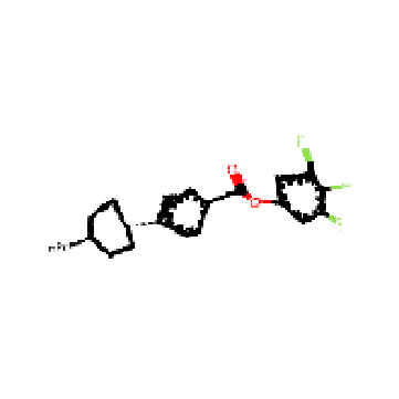 CCC[C@H]1CC[C@H](c2ccc(C(=O)Oc3cc(F)c(F)c(F)c3)cc2)CC1